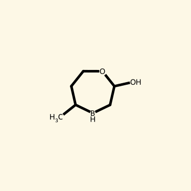 CC1BCC(O)OCC1